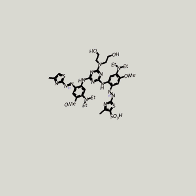 CCN(CC)c1cc(Nc2nc(Nc3cc(N(CC)CC)c(OC)cc3/N=N/c3nc(C)c(S(=O)(=O)O)s3)nc(N(CCO)CCO)n2)c(/N=N/c2nc(C)cs2)cc1OC